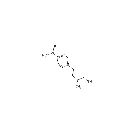 CC(CS)CCc1ccc(N(C)C(C)C)cc1